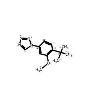 COc1cc(-n2cnnn2)ccc1C(C)(C)C